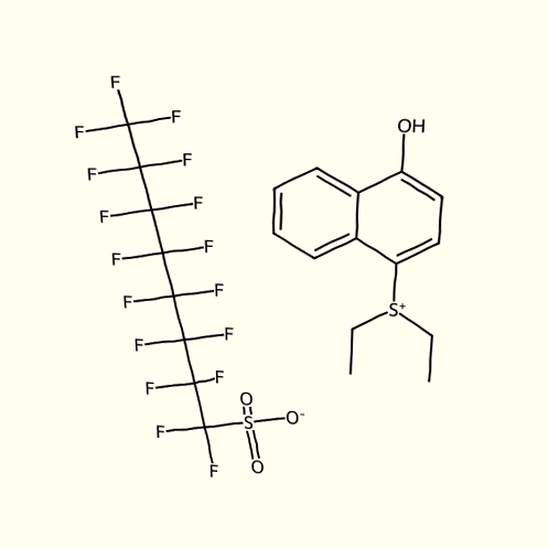 CC[S+](CC)c1ccc(O)c2ccccc12.O=S(=O)([O-])C(F)(F)C(F)(F)C(F)(F)C(F)(F)C(F)(F)C(F)(F)C(F)(F)C(F)(F)F